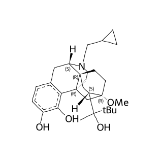 CO[C@@]12CC[C@]3(C[C@H]1C(C)(O)C(C)(C)C)[C@@H]1Cc4ccc(O)c(O)c4[C@]3(CCN1CC1CC1)C2